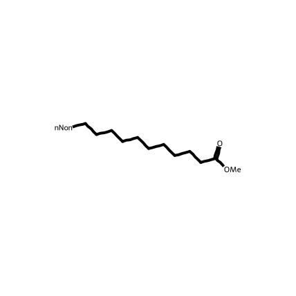 CCCCCCCCCCCCCCCCCCCC(=O)OC